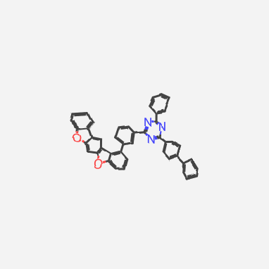 c1ccc(-c2ccc(-c3nc(-c4ccccc4)nc(-c4cccc(-c5cccc6oc7cc8oc9ccccc9c8cc7c56)c4)n3)cc2)cc1